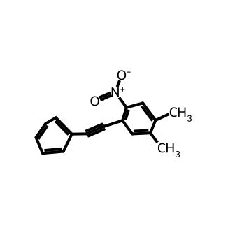 Cc1cc(C#Cc2ccccc2)c([N+](=O)[O-])cc1C